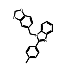 Cc1ccc(-c2nc3ccccc3n2Cc2ccc3c(c2)OCO3)cc1